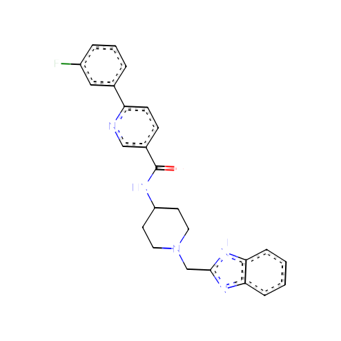 O=C(NC1CCN(Cc2nc3ccccc3[nH]2)CC1)c1ccc(-c2cccc(F)c2)nc1